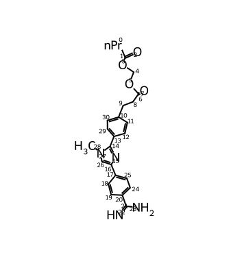 CCCC(=O)OCOC(=O)CCc1ccc(-c2nc(-c3ccc(C(=N)N)cc3)cn2C)cc1